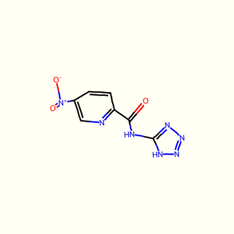 O=C(Nc1nnn[nH]1)c1ccc([N+](=O)[O-])cn1